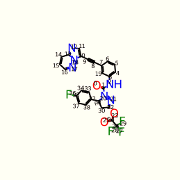 O=C(Nc1cccc(C#Cc2cnc3cccnn23)c1)N1N=C(OC(=O)C(F)(F)F)C[C@H]1c1ccc(F)cc1